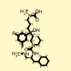 CNC[C@H](CC1CCCCC1)NC(=O)N1CCC[C@@H]([C@@](O)(CCCN(C)C(=O)O)c2cc(F)cc(F)c2)C1